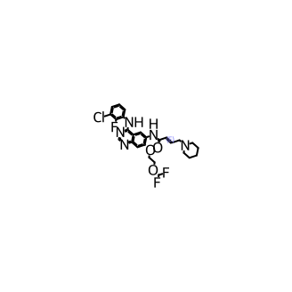 O=C(/C=C/CN1CCCCC1)Nc1cc2c(Nc3cccc(Cl)c3F)ncnc2cc1OCCOC(F)F